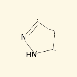 [C]1C[C]=NN1